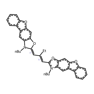 CCCCN1/C(=C/C(=C/c2oc3cc4oc5ccccc5c4cc3[n+]2CCCC)CC)Oc2cc3oc4ccccc4c3cc21